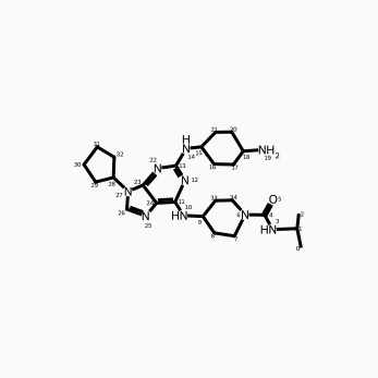 CC(C)NC(=O)N1CCC(Nc2nc(NC3CCC(N)CC3)nc3c2ncn3C2CCCC2)CC1